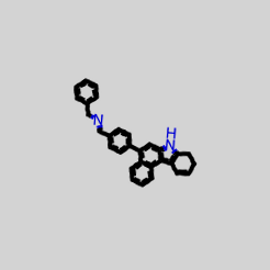 C1=Cc2c([nH]c3cc(-c4ccc(/C=N/Cc5ccccc5)cc4)c4ccccc4c23)CC1